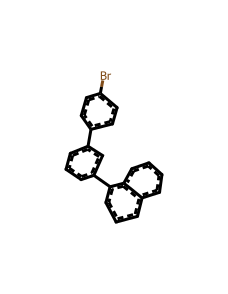 Brc1ccc(-c2cccc(-c3cccc4ccccc34)c2)cc1